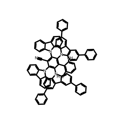 Cc1cccc(C)c1-c1c(-n2c3ccc(-c4ccccc4)cc3c3cc(-c4ccccc4)ccc32)c(-n2c3ccccc3c3ccccc32)c(C#N)c(-n2c3ccccc3c3ccccc32)c1-n1c2ccc(-c3ccccc3)cc2c2cc(-c3ccccc3)ccc21